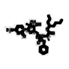 CCCCC(CCC)OC(=O)[C@H](C)NP(=O)(OC[C@H]1O[C@@H](n2ccc(N)nc2=O)[C@](C)(O)[C@@H]1O)Oc1ccccc1